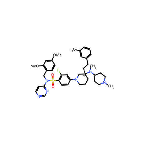 COc1ccc(CN(c2ccncn2)S(=O)(=O)c2ccc(N3CCC[C@@](CCc4cccc(C(F)(F)F)c4)(N(C)C4CCN(C)CC4)C3)cc2F)c(OC)c1